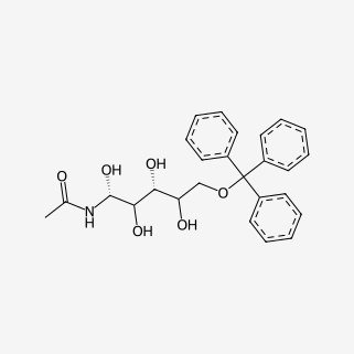 CC(=O)N[C@H](O)C(O)[C@H](O)C(O)COC(c1ccccc1)(c1ccccc1)c1ccccc1